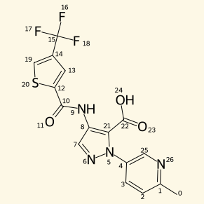 Cc1ccc(-n2ncc(NC(=O)c3cc(C(F)(F)F)cs3)c2C(=O)O)cn1